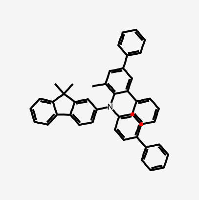 Cc1cc(-c2ccccc2)cc(-c2ccccc2)c1N(c1ccc(-c2ccccc2)cc1)c1ccc2c(c1)C(C)(C)c1ccccc1-2